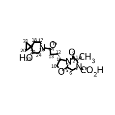 C[C@H]1C(=O)N2C(CN1C(=O)O)OC[C@@H]2CCC(=O)N1CCC2(CC2)C(O)C1